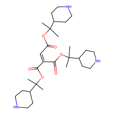 CC(C)(OC(=O)C=C(C(=O)OC(C)(C)C1CCNCC1)C(=O)OC(C)(C)C1CCNCC1)C1CCNCC1